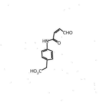 O=C/C=C\C(=O)Nc1ccc(CC(=O)O)cc1